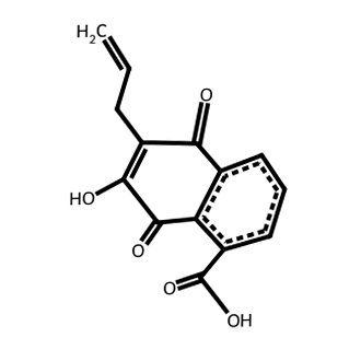 C=CCC1=C(O)C(=O)c2c(C(=O)O)cccc2C1=O